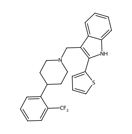 FC(F)(F)c1ccccc1C1CCN(Cc2c(-c3cccs3)[nH]c3ccccc23)CC1